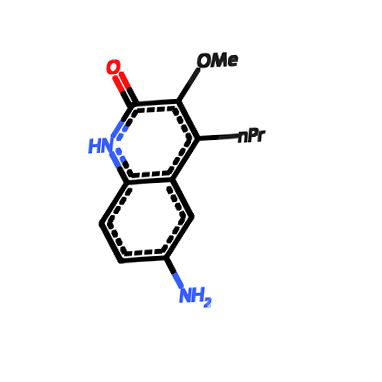 CCCc1c(OC)c(=O)[nH]c2ccc(N)cc12